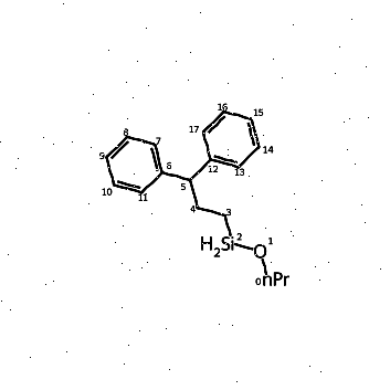 CCCO[SiH2]CCC(c1ccccc1)c1ccccc1